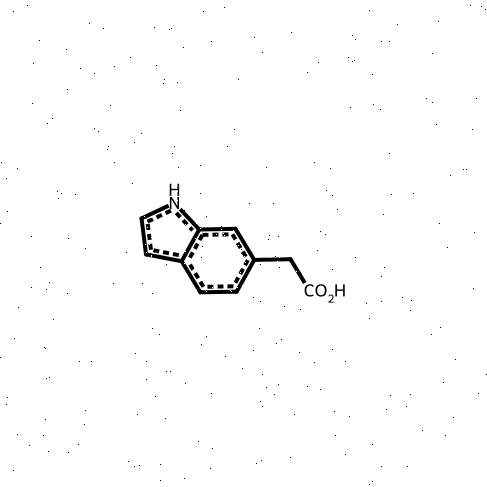 O=C(O)Cc1ccc2cc[nH]c2c1